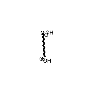 O=C(CCCCCCCCCCS(=O)O)OO